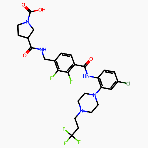 O=C(Nc1ccc(Cl)cc1N1CCN(CCC(F)(F)F)CC1)c1ccc(CNC(=O)C2CCN(C(=O)O)C2)c(F)c1F